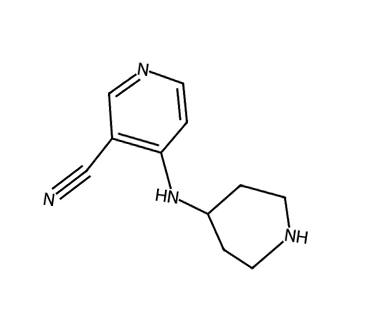 N#Cc1cnccc1NC1CCNCC1